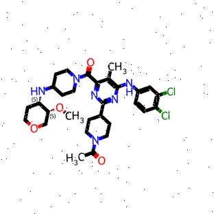 CO[C@@H]1COCC[C@@H]1NC1CCN(C(=O)c2nc(C3CCN(C(C)=O)CC3)nc(Nc3ccc(Cl)c(Cl)c3)c2C)CC1